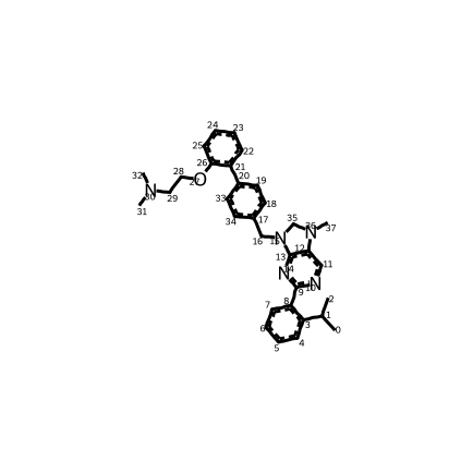 CC(C)c1ccccc1-c1ncc2c(n1)N(Cc1ccc(-c3ccccc3OCCN(C)C)cc1)CN2C